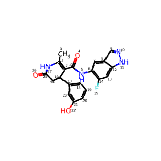 CC1=C(C(=O)Nc2cc3cn[nH]c3cc2F)C(c2cccc(O)c2)CC(=O)N1